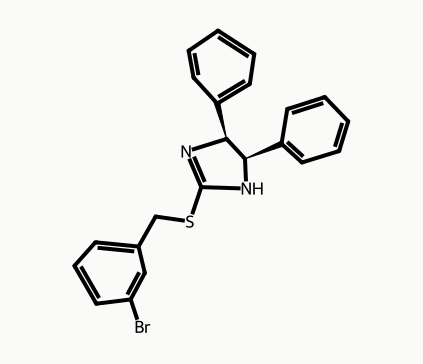 Brc1cccc(CSC2=N[C@@H](c3ccccc3)[C@@H](c3ccccc3)N2)c1